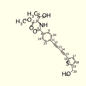 COC(=O)[C@H](NC(=O)c1ccc(C#CC#Cc2ccc(CO)s2)cc1)[C@@H](C)O